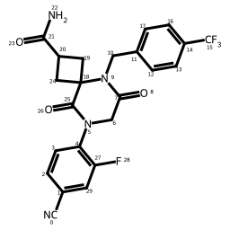 N#Cc1ccc(N2CC(=O)N(Cc3ccc(C(F)(F)F)cc3)C3(CC(C(N)=O)C3)C2=O)c(F)c1